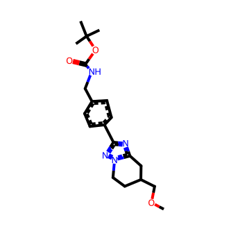 COCC1CCn2nc(-c3ccc(CNC(=O)OC(C)(C)C)cc3)nc2C1